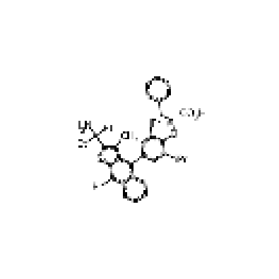 CCC(N)(CC)c1sc2c(Br)c3ccccc3c(-c3cc(C(C)C)c(O[C@H](Cc4ccccc4)C(=O)O)c(C(C)C)c3)c2c1C